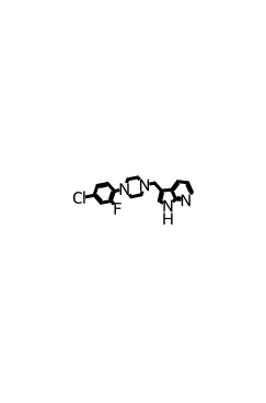 Fc1cc(Cl)ccc1N1CCN(Cc2c[nH]c3ncccc23)CC1